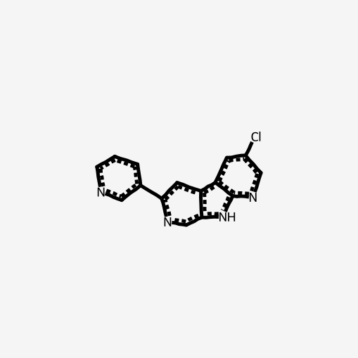 Clc1cnc2[nH]c3cnc(-c4cccnc4)cc3c2c1